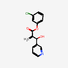 C=C(C(=O)Oc1cccc(Cl)c1)C(O)c1cccnc1